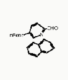 CCCCCc1ccc(C=O)nc1.c1ccc2ccccc2c1